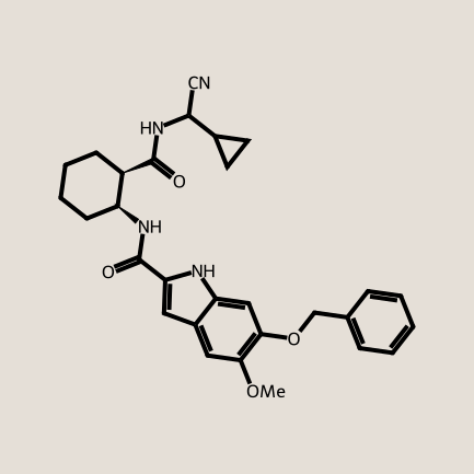 COc1cc2cc(C(=O)N[C@H]3CCCC[C@H]3C(=O)NC(C#N)C3CC3)[nH]c2cc1OCc1ccccc1